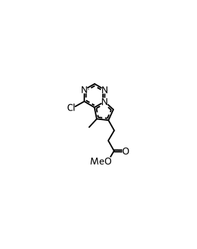 COC(=O)CCc1cn2ncnc(Cl)c2c1C